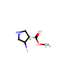 COC(=O)[C@H]1CNCC1I